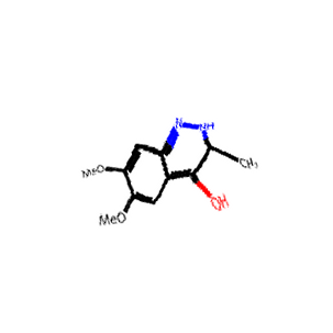 COc1cc2c(cc1OC)=C(O)C(C)NN=2